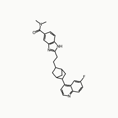 CN(C)C(=O)c1ccc2[nH]c(CCC3CC4CC3CC4c3ccnc4ccc(F)cc34)nc2c1